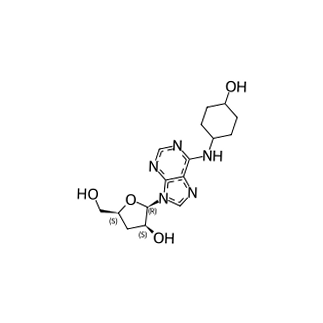 OC[C@@H]1C[C@H](O)[C@H](n2cnc3c(NC4CCC(O)CC4)ncnc32)O1